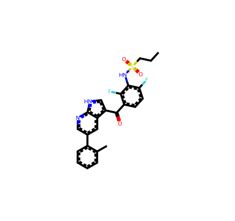 CCCS(=O)(=O)Nc1c(F)ccc(C(=O)c2c[nH]c3ncc(-c4ccccc4C)cc23)c1F